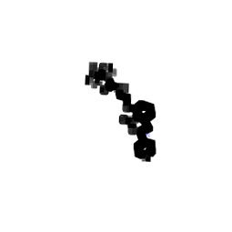 CC(C)(C)OC(=O)NCCOc1cccc(/C=C/c2ccncc2)c1[N+](=O)[O-]